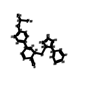 O=c1ccc(-c2ccc(OC(F)F)nc2)nn1Cn1nnnc1-c1ccccc1